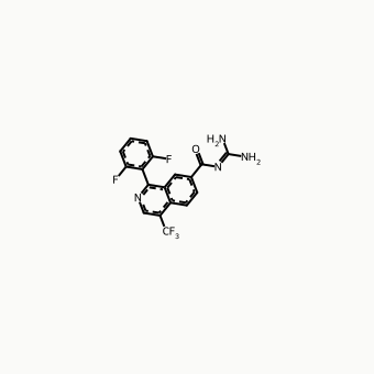 NC(N)=NC(=O)c1ccc2c(C(F)(F)F)cnc(-c3c(F)cccc3F)c2c1